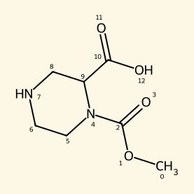 COC(=O)N1CCNCC1C(=O)O